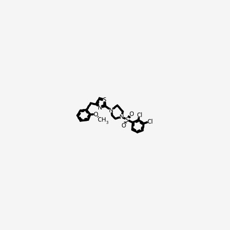 COc1ccccc1Cc1csc(N2CCN(S(=O)(=O)c3cccc(Cl)c3Cl)CC2)n1